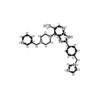 Bc1cnc2[nH]c(-c3ccc(Cn4ccnc4)cc3)nc2c1N1CCN(Cc2cccnc2)CC1